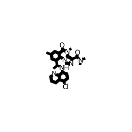 Cc1cc(C(C)Nc2ccc(Cl)c3cccnc23)c2c(c1)c(=O)n(C)c1c(C(=O)N(C)C)ncn21